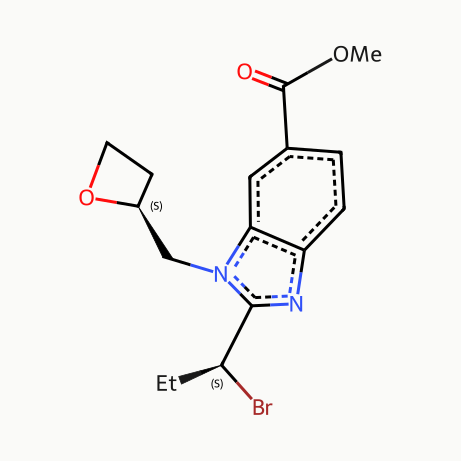 CC[C@H](Br)c1nc2ccc(C(=O)OC)cc2n1C[C@@H]1CCO1